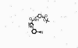 CC(C)(C)OC(=O)N1CC[C@H](CNC(=O)c2cn(-c3cccc(C#N)c3)nn2)C1